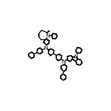 C=C1CC/C=C\Cc2cc(N(c3ccc(-c4ccccc4)cc3)c3ccc(-c4ccc(N(c5ccc(-c6ccccc6)cc5)c5ccc6c(c5)c5ccccc5n6-c5ccccc5)cc4)cc3)ccc2N1c1ccccc1